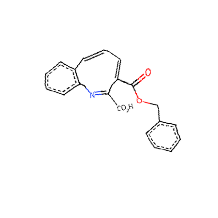 O=C(OCc1ccccc1)C1=C/C=C\c2ccccc2/N=C\1C(=O)O